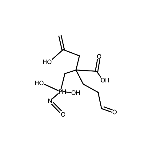 C=C(O)CC(CCC=O)(C[PH](O)(O)N=O)C(=O)O